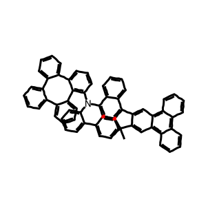 CC1(C)c2cc3c4ccccc4c4ccccc4c3cc2-c2c1cc(N(c1ccccc1-c1ccccc1)c1cccc3c1-c1ccccc1-c1ccccc1-c1ccccc1-3)c1ccccc21